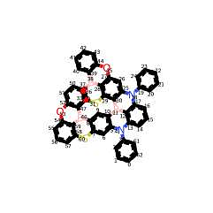 c1ccc(N2c3cc4c(cc3B3c5c2cccc5N(c2ccccc2)c2cc5c6c(c23)Sc2ccccc2B6c2ccccc2O5)B2c3ccccc3Oc3cccc(c32)S4)cc1